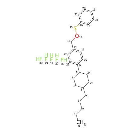 CCCCCC1CCC(c2ccc(COSc3ccccc3)cc2)CC1.F.F.F.F.F